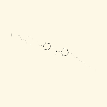 CCCCCCCOc1ccc(C(=O)Oc2ccc(CC[C@H]3CC[C@H](CCC)CC3)cc2)cc1